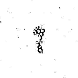 O=C(NCCCCC1CCNC(C(F)(F)F)C1C(=O)c1cscn1)c1cc2ccncc2s1